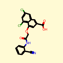 N#Cc1ccccc1NC(=O)COc1cc(C(=O)O)cc2cc(Cl)cc(Cl)c12